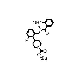 CN(Cc1cccc(F)c1C1CCN(C(=O)OC(C)(C)C)CC1)C(=O)c1ccccc1C=O